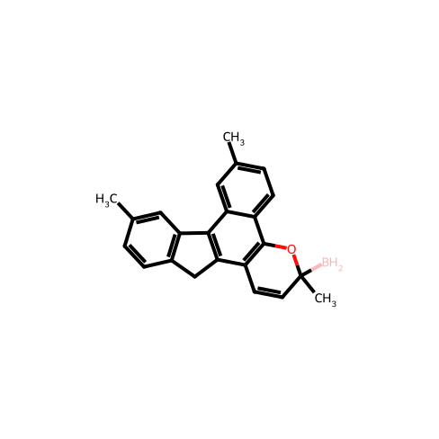 BC1(C)C=Cc2c3c(c4cc(C)ccc4c2O1)-c1cc(C)ccc1C3